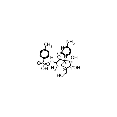 CC(C)C(=O)[C@@]1(n2ccc(N)nc2=O)O[C@H](CO)[C@@H](O)[C@H]1O.Cc1ccc(S(=O)(=O)O)cc1